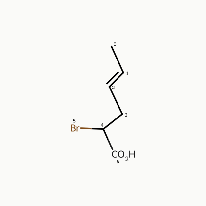 CC=CCC(Br)C(=O)O